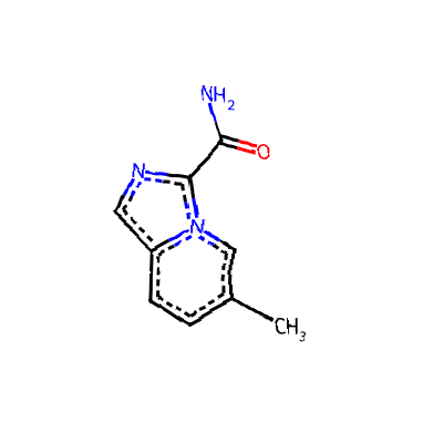 Cc1ccc2cnc(C(N)=O)n2c1